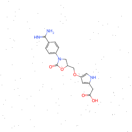 N=C(N)c1ccc(N2CC(COc3c[nH]c(CC(=O)O)c3)OC2=O)cc1